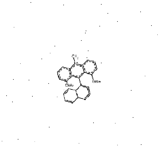 COc1cccc2c1c(C1=C=C=CC3C=CC=CC13)c1c(OC)cccc1[n+]2C